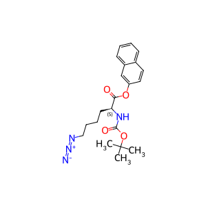 CC(C)(C)OC(=O)N[C@@H](CCCCN=[N+]=[N-])C(=O)Oc1ccc2ccccc2c1